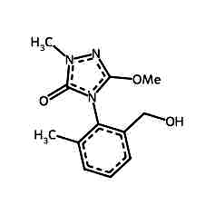 COc1nn(C)c(=O)n1-c1c(C)cccc1CO